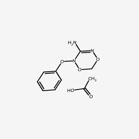 CC(=O)O.NC1=NOCON1Oc1ccccc1